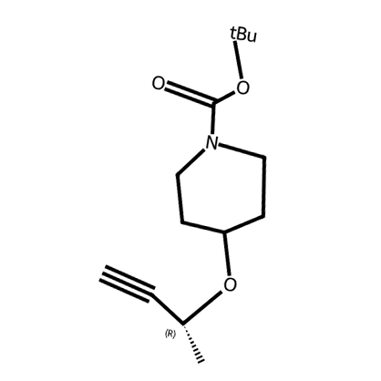 C#C[C@@H](C)OC1CCN(C(=O)OC(C)(C)C)CC1